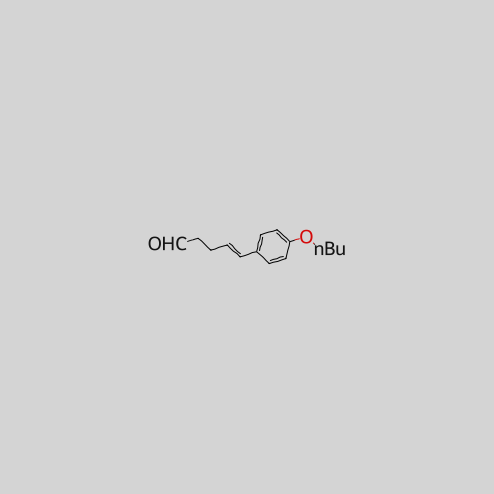 CCCCOc1ccc(C=CCCC=O)cc1